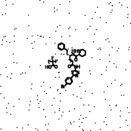 O=C(/C=C/[C@H](CCc1ccccc1)NC(=O)[C@@H]1CCCCN1)Nc1nnc(-c2ccc(Br)cc2)s1.O=C(O)C(F)(F)F